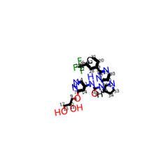 O=C(Nc1cnnc(OCC(O)CO)c1)N1c2nc(-c3cccc(C(F)(F)F)c3)ncc2N2CC[C@H]1C2